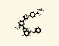 CC(C)(C)OC(=O)N1CCC(n2cc(-c3cnc(N)c(-c4nc5cccc(OCc6ccccc6)c5[nH]4)n3)cn2)CC1